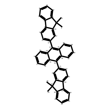 CC1(C)c2ccccc2-c2ccc(-c3c4ccccc4c(-c4ccc5c(c4)C(C)(C)c4ccccc4-5)c4ccccc34)cc21